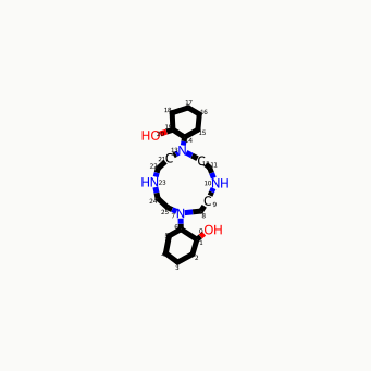 OC1CCCCC1N1CCNCCN(C2CCCCC2O)CCNCC1